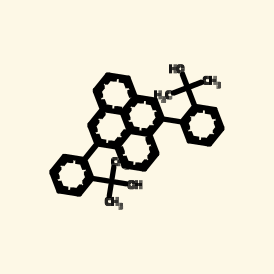 CC(C)(O)c1ccccc1-c1cc2cccc3cc(-c4ccccc4C(C)(C)O)c4cccc1c4c23